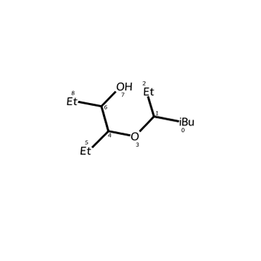 CCC(C)C(CC)OC(CC)C(O)CC